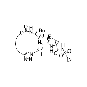 CC[C@@H]1C[C@]1(NC(=O)[C@@H]1C[C@@H]2CN1C(=O)[C@H](C(C)(C)C)NC(=O)OCCCCCc1cn2nn1)C(=O)NS(=O)(=O)C1CC1